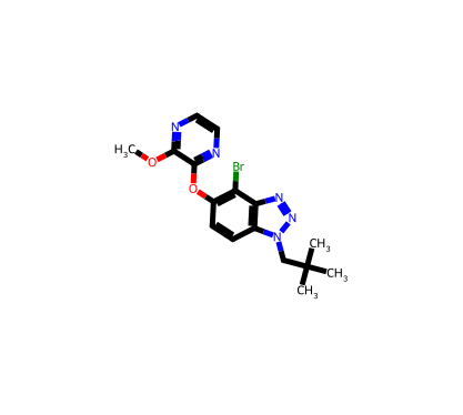 COc1nccnc1Oc1ccc2c(nnn2CC(C)(C)C)c1Br